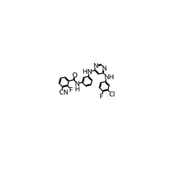 N#Cc1cccc(C(=O)Nc2cccc(Nc3cc(Nc4ccc(F)c(Cl)c4)ncn3)c2)c1F